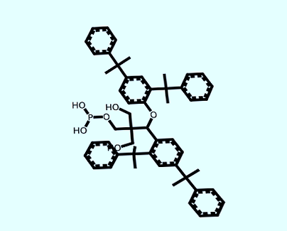 CC(C)(c1ccccc1)c1ccc(OC(c2ccc(C(C)(C)c3ccccc3)cc2C(C)(C)c2ccccc2)C(CO)(CO)COP(O)O)c(C(C)(C)c2ccccc2)c1